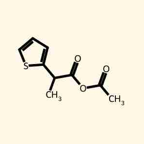 CC(=O)OC(=O)C(C)c1cccs1